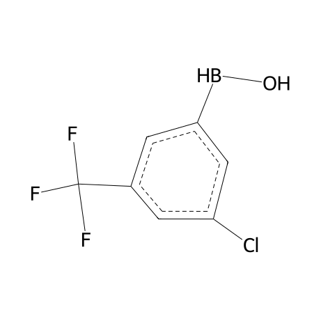 OBc1cc(Cl)cc(C(F)(F)F)c1